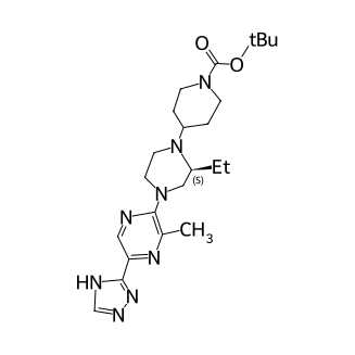 CC[C@H]1CN(c2ncc(-c3nnc[nH]3)nc2C)CCN1C1CCN(C(=O)OC(C)(C)C)CC1